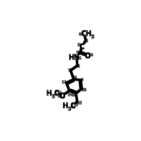 CCCC(=O)NCCc1ccc(CC)c(OC)c1